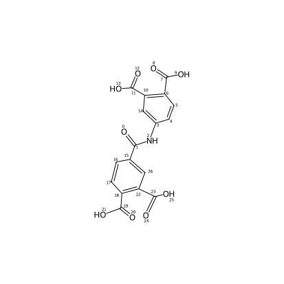 O=C(Nc1ccc(C(=O)O)c(C(=O)O)c1)c1ccc(C(=O)O)c(C(=O)O)c1